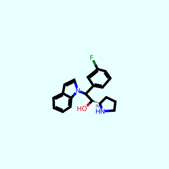 OC(C(c1cccc(F)c1)n1ccc2ccccc21)[C@@H]1CCCN1